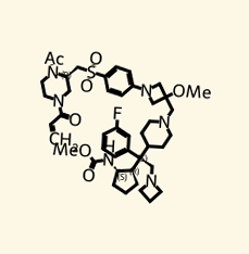 C=CC(=O)N1CCN(C(C)=O)[C@@H](CS(=O)(=O)c2ccc(N3CC(CN4CCC([C@@](CN5CCC5)(c5cccc(F)c5)[C@H]5CCC[C@@H]5NC(=O)OC)CC4)(OC)C3)cc2)C1